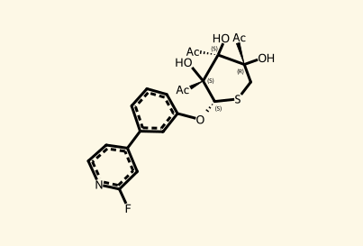 CC(=O)[C@]1(O)[C@@](O)(C(C)=O)CS[C@H](Oc2cccc(-c3ccnc(F)c3)c2)[C@@]1(O)C(C)=O